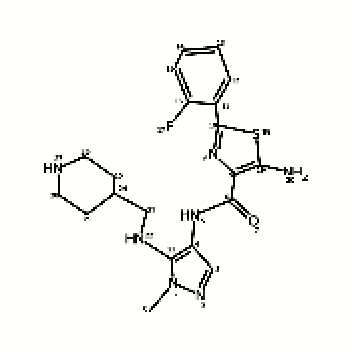 Cn1ncc(NC(=O)c2nc(-c3ccccc3F)sc2N)c1NCC1CCNCC1